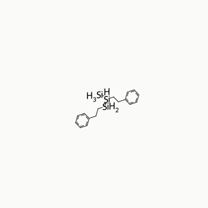 [SiH3][SiH](CCc1ccccc1)[SiH2]CCc1ccccc1